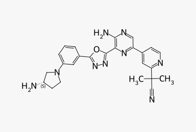 CC(C)(C#N)c1cc(-c2cnc(N)c(-c3nnc(-c4cccc(N5CC[C@H](N)C5)c4)o3)n2)ccn1